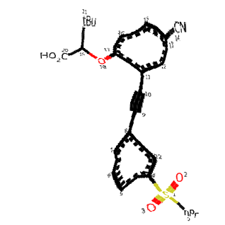 CCCS(=O)(=O)c1cccc(C#Cc2cc(C#N)ccc2OC(C(=O)O)C(C)(C)C)c1